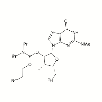 [2H]C[C@H]1O[C@@H](n2cnc3c(=O)[nH]c(NC)nc32)C(OP(OCCC#N)N(C(C)C)C(C)C)[C@H]1C